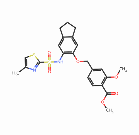 COC(=O)c1ccc(COc2cc3c(cc2NS(=O)(=O)c2nc(C)cs2)CCC3)cc1OC